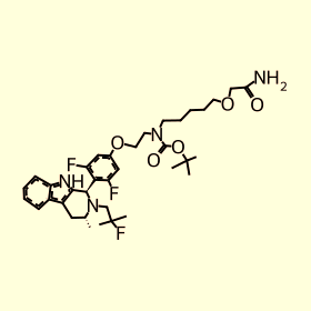 C[C@@H]1Cc2c([nH]c3ccccc23)[C@@H](c2c(F)cc(OCCN(CCCCCOCC(N)=O)C(=O)OC(C)(C)C)cc2F)N1CC(C)(C)F